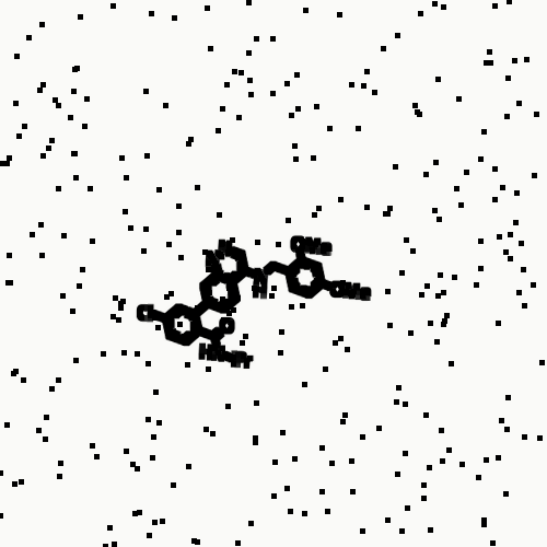 COc1ccc(CNc2cnnc3cc(-c4cc(Cl)ccc4C(=O)NC(C)C)ccc23)c(OC)c1